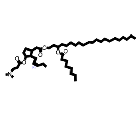 CC/C=C\CC1C(CC(=O)OCCC(CCCCCCCCCCCCCCCCCC)OC(=O)CCCCCCC)CCC1OC(=O)CCN(C)C